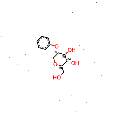 OC[C@H]1O[CH][C@H](Oc2ccccc2)[C@@H](O)[C@@H]1O